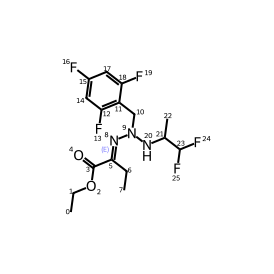 CCOC(=O)/C(CC)=N/N(Cc1c(F)cc(F)cc1F)NC(C)C(F)F